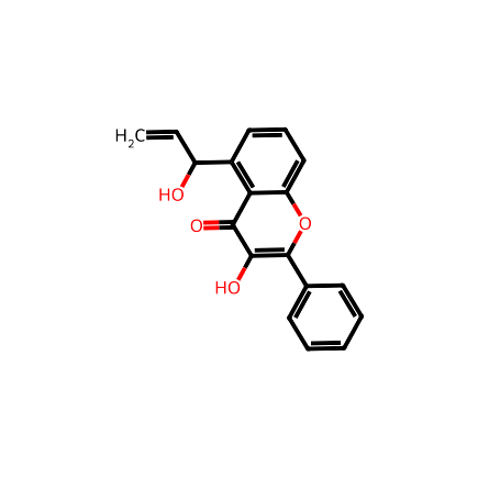 C=CC(O)c1cccc2oc(-c3ccccc3)c(O)c(=O)c12